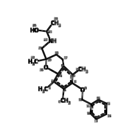 Cc1c(C)c2c(c(C)c1OCc1ccccc1)CCC(C)(CNC(C)O)O2